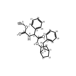 CC(C)(C)OC(=O)NC(C(=O)OC1CC2CCC1N2Cc1ccccc1)c1ccccc1